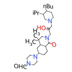 CCCCC1CCN(C[C@@H](O)CN2CC(C)(C)C3CC(N4CCN(C=O)CC4)CCC3C2=O)CC1C(C)C